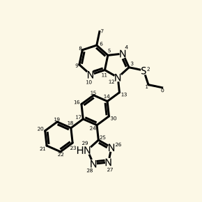 CCSc1nc2c(C)ccnc2n1Cc1ccc(-c2ccccc2)c(-c2nnn[nH]2)c1